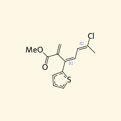 C=C(C(=O)OC)/C(=C\C=C(/C)Cl)c1cccs1